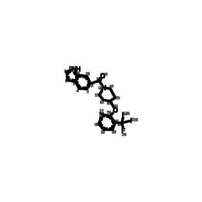 O=C(c1ccc2cc[nH]c2c1)N1CCC(Oc2ncccc2C(F)(F)F)CC1